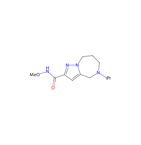 CONC(=O)c1cc2n(n1)CCCN(C(C)C)C2